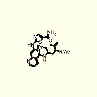 C=C(C)C(CC(CC(C)C)Nc1nc(Nc2ncc(C(N)=O)s2)cc2ncccc12)NC